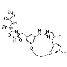 CC(C)[C@H](NC(=O)OC(C)(C)C)C(=O)N=[S@](C)(=O)Cc1cc2cc(c1)OCCCCOc1cc(F)ccc1-c1nc(ncc1F)N2